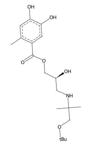 Cc1cc(O)c(O)cc1C(=O)OC[C@@H](O)CNC(C)(C)COC(C)(C)C